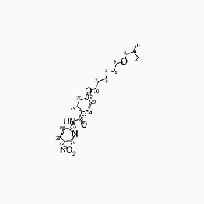 C=C(C)COCCCCCCOc1ccc(C(=O)Nc2ccc([N+](=O)[O-])cn2)cc1